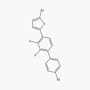 CCc1ccc(-c2ccc(-c3ccc(CC)s3)c(F)c2F)cc1